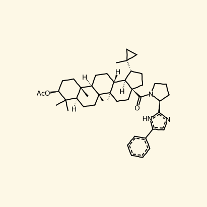 CC(=O)O[C@H]1CC[C@]2(C)[C@H]3CC[C@@H]4[C@H]5[C@H](C6(C)CC6)CC[C@]5(C(=O)N5CCC[C@H]5c5ncc(-c6ccccc6)[nH]5)CC[C@@]4(C)[C@]3(C)CC[C@H]2C1(C)C